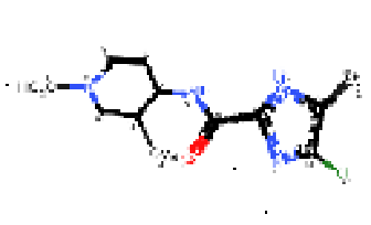 CCc1[nH]c(C(=O)NC2CCN(C(=O)O)CC2OC)nc1Cl